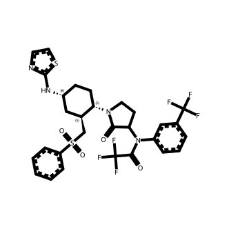 O=C1C(N(C(=O)C(F)(F)F)c2cccc(C(F)(F)F)c2)CCN1[C@H]1CC[C@@H](Nc2nccs2)C[C@@H]1CS(=O)(=O)c1ccccc1